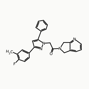 Cc1cc(-c2cc(-c3ccccc3)n(CC(=O)N3Cc4cccnc4C3)n2)ccc1F